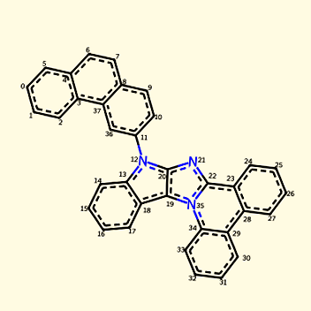 c1ccc2c(c1)ccc1ccc(-n3c4ccccc4c4c3nc3c5ccccc5c5ccccc5n34)cc12